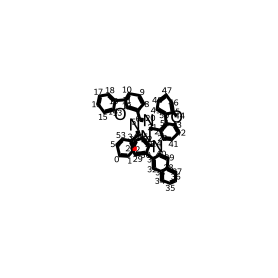 c1ccc(-c2nc(-c3cccc4c3oc3ccccc34)nc(-c3c(-n4c5ccccc5c5cc6ccccc6cc54)ccc4oc5ccccc5c34)n2)cc1